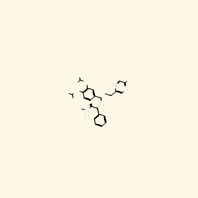 CNC(=O)[C@@H](N[C@H](CCc1cnc(Cl)cn1)c1ccc(OC(F)F)c(OC(F)F)c1)c1ccccc1